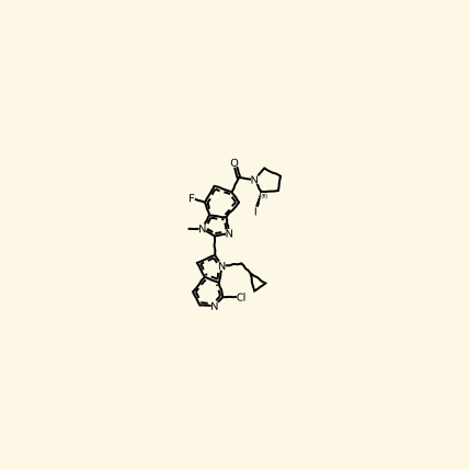 Cn1c(-c2cc3ccnc(Cl)c3n2CC2CC2)nc2cc(C(=O)N3CCC[C@H]3I)cc(F)c21